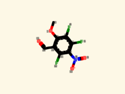 COc1c(F)c(F)c([N+](=O)[O-])c(F)c1C=O